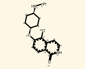 CCCN[C@H]1CC[C@@H](Oc2ccc3c(=O)[nH]ccc3c2Cl)CC1